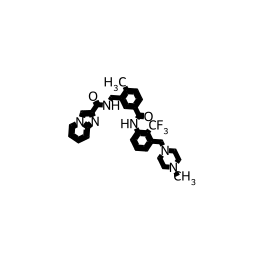 Cc1ccc(C(=O)Nc2cccc(CN3CCN(C)CC3)c2C(F)(F)F)cc1CNC(=O)c1cn2ccccc2n1